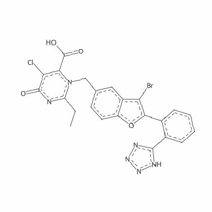 CCc1nc(=O)c(Cl)c(C(=O)O)n1Cc1ccc2oc(-c3ccccc3-c3nnn[nH]3)c(Br)c2c1